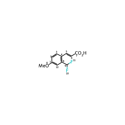 COc1ccc(C=CC(=O)O)c(C(F)F)c1